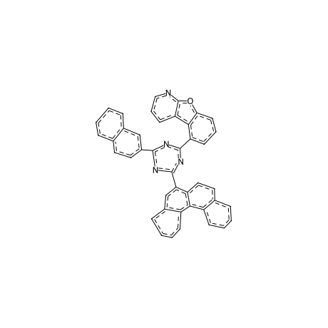 c1ccc2cc(-c3nc(-c4cc5ccccc5c5c4ccc4ccccc45)nc(-c4cccc5oc6ncccc6c45)n3)ccc2c1